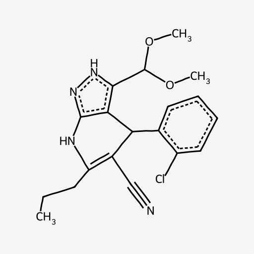 CCCC1=C(C#N)C(c2ccccc2Cl)c2c(n[nH]c2C(OC)OC)N1